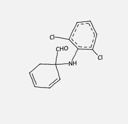 O=CC1(Nc2c(Cl)cccc2Cl)C=CC=CC1